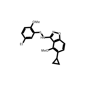 CCc1ccc(OC)c(SNc2noc3ccc(C4CC4)c(OC)c23)c1